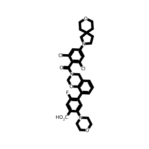 O=C(O)c1cc(F)c(-c2cccc3c2OCN(C(=O)c2c(Cl)cc(N4CCC5(CCOCC5)C4)cc2Cl)C3)cc1N1CCOCC1